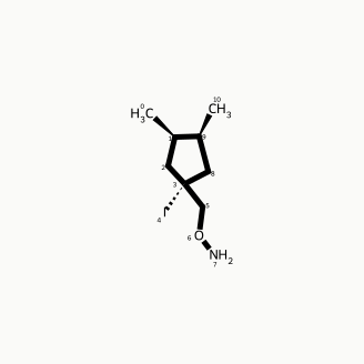 C[C@@H]1C[C@](I)(CON)C[C@@H]1C